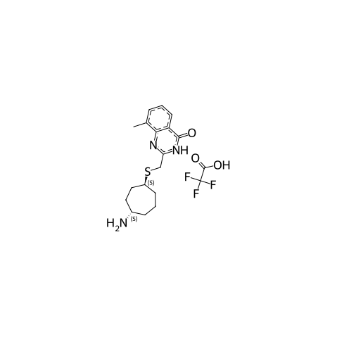 Cc1cccc2c(=O)[nH]c(CS[C@H]3CCC[C@H](N)CC3)nc12.O=C(O)C(F)(F)F